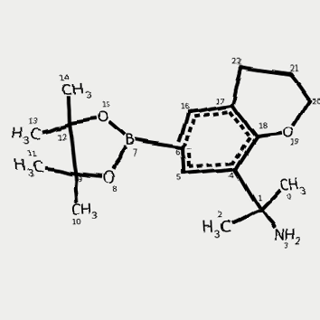 CC(C)(N)c1cc(B2OC(C)(C)C(C)(C)O2)cc2c1OCCC2